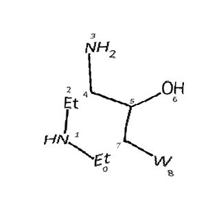 CCNCC.NCC(O)[CH2][W]